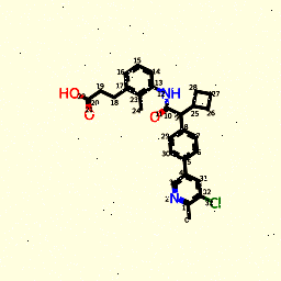 Cc1ncc(-c2ccc(C(C(=O)Nc3cccc(CCC(=O)O)c3C)C3CCC3)cc2)cc1Cl